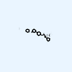 CCN(CC)c1ccc(Br)cc1C(=O)N[C@@H](Cc1ccc(-c2cccc(Oc3ccc(C(F)(F)F)cc3)c2)cc1)C(=O)O